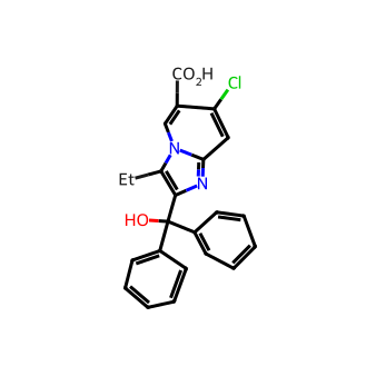 CCc1c(C(O)(c2ccccc2)c2ccccc2)nc2cc(Cl)c(C(=O)O)cn12